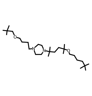 CC(C)(C)CCCCOC(C)(C)CCC(C)(C)N1CCN(CCCCOCC(C)(C)C)CC1